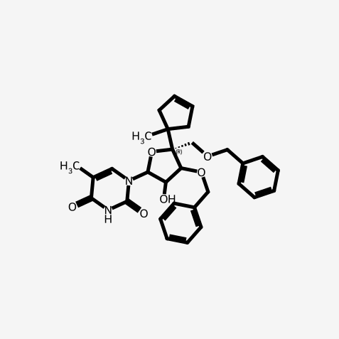 Cc1cn(C2O[C@@](COCc3ccccc3)(C3(C)CC=CC3)C(OCc3ccccc3)C2O)c(=O)[nH]c1=O